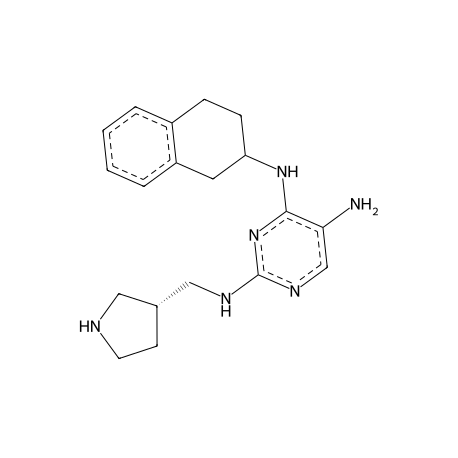 Nc1cnc(NC[C@@H]2CCNC2)nc1NC1CCc2ccccc2C1